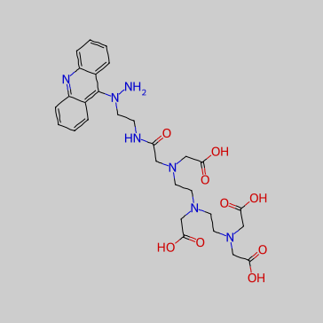 NN(CCNC(=O)CN(CCN(CCN(CC(=O)O)CC(=O)O)CC(=O)O)CC(=O)O)c1c2ccccc2nc2ccccc12